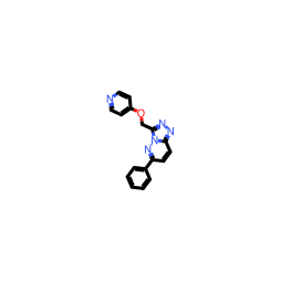 c1ccc(-c2ccc3nnc(COc4ccncc4)n3n2)cc1